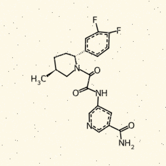 C[C@H]1CC[C@H](c2ccc(F)c(F)c2)N(C(=O)C(=O)Nc2cncc(C(N)=O)c2)C1